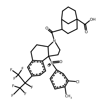 Cc1ccc(S(=O)(=O)C23CCN(C(=O)C4CCC5(C(=O)O)CCCC4C5)C2CCc2cc(C(F)(C(F)(F)F)C(F)(F)F)ccc23)cc1Cl